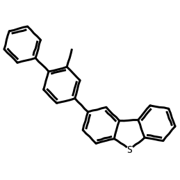 Cc1cc(-c2ccc3sc4ccccc4c3c2)ccc1-c1ccccc1